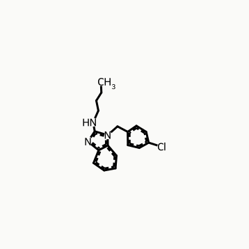 CCCCNc1nc2ccccc2n1Cc1ccc(Cl)cc1